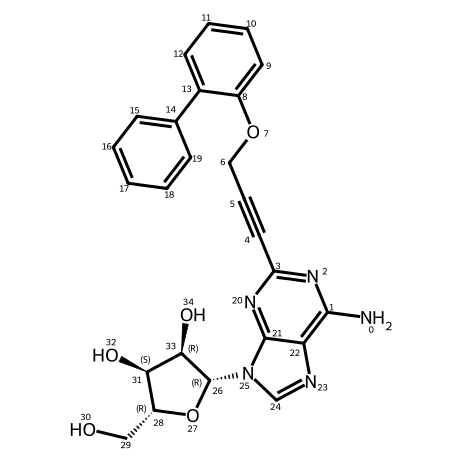 Nc1nc(C#CCOc2ccccc2-c2ccccc2)nc2c1ncn2[C@@H]1O[C@H](CO)[C@@H](O)[C@H]1O